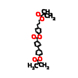 C=C(C)C(=O)OCCCc1ccc(OC(=O)c2ccc(-c3ccc(OC(=O)C(=C)C)cc3)cc2)cc1